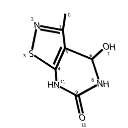 Cc1nsc2c1C(O)NC(=O)N2